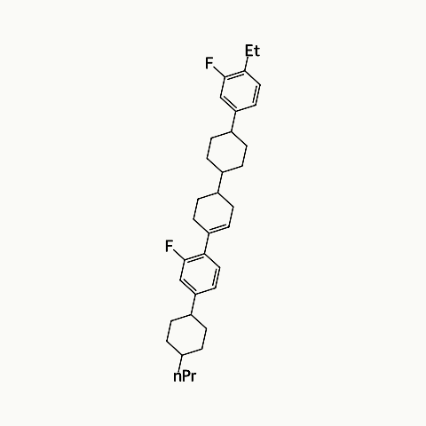 CCCC1CCC(c2ccc(C3=CCC(C4CCC(c5ccc(CC)c(F)c5)CC4)CC3)c(F)c2)CC1